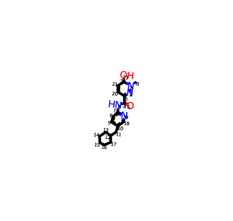 CN1N=C(C(=O)Nc2ccc(CC3CCCCC3)cn2)C=CC1O